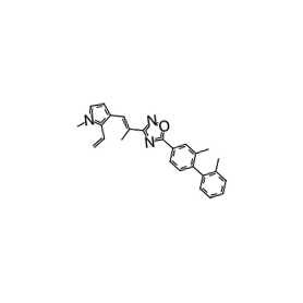 C=Cc1c(/C=C(\C)c2noc(-c3ccc(-c4ccccc4C)c(C)c3)n2)ccn1C